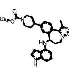 Cc1nnn2c1-c1ccc(C3=CCN(C(=O)OC(C)(C)C)CC3)cc1C(Nc1cccc3[nH]ccc13)CC2